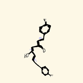 O=C(/C=C/c1ccc(F)cc1)/C=C(O)\C=C\c1ccc(F)cc1